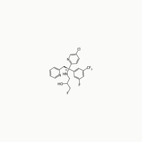 OC(CF)CN[C@@](Cc1ccccn1)(c1cc(F)cc(C(F)(F)F)c1)c1ccc(Cl)cn1